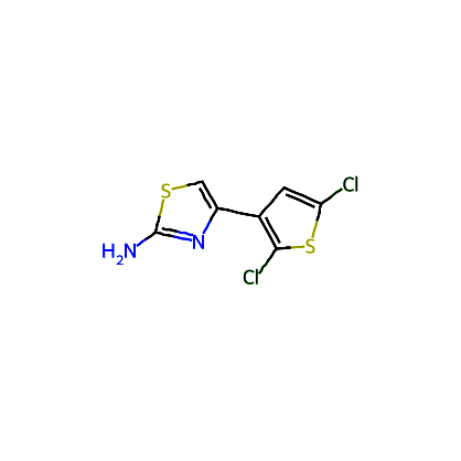 Nc1nc(-c2cc(Cl)sc2Cl)cs1